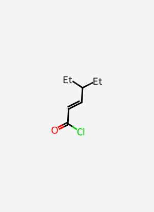 CCC(C=CC(=O)Cl)CC